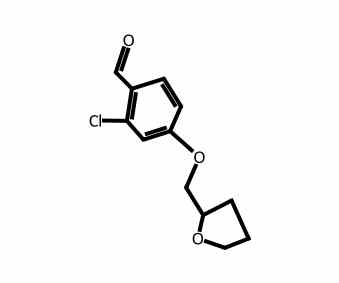 O=Cc1ccc(OCC2CCCO2)cc1Cl